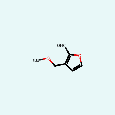 CC(C)(C)OCc1ccoc1C=O